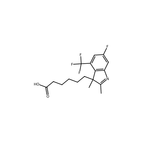 CC1=Nc2cc(F)cc(C(F)(F)F)c2C1(C)CCCCCC(=O)O